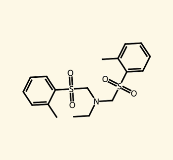 CCN(CS(=O)(=O)c1ccccc1C)CS(=O)(=O)c1ccccc1C